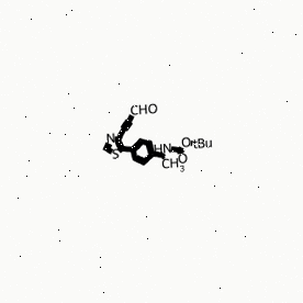 C[C@H](NC(=O)OC(C)(C)C)c1ccc(-c2scnc2C#CC=O)cc1